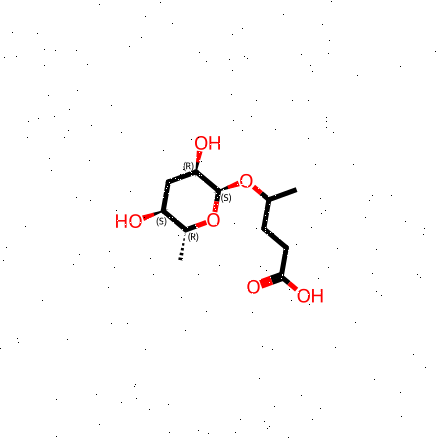 CC(CCC(=O)O)O[C@H]1O[C@H](C)[C@@H](O)C[C@H]1O